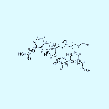 CCCCC[C@H](O)CC[C@@H]1[C@H]2Cc3cccc(OCC(=O)O)c3C[C@H]2C[C@H]1OC(=O)N(C)C(C)(C)C(=O)NCCNCCS